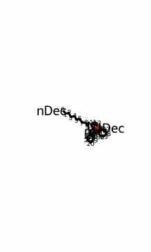 CCCCCCCCCCCCCCCCCCCN1C=CN(CCCCCCCCCC)C1(Cc1ccccc1)C(CC)c1ccccc1